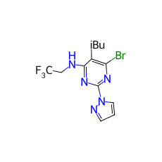 CCC(C)c1c(Br)nc(-n2cccn2)nc1NCC(F)(F)F